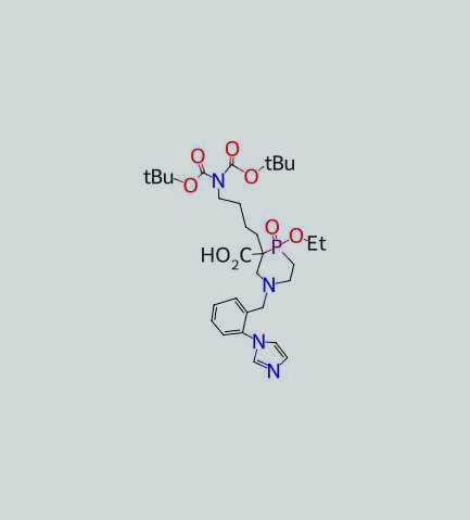 CCOP1(=O)CCN(Cc2ccccc2-n2ccnc2)CC1(CCCCN(C(=O)OC(C)(C)C)C(=O)OC(C)(C)C)C(=O)O